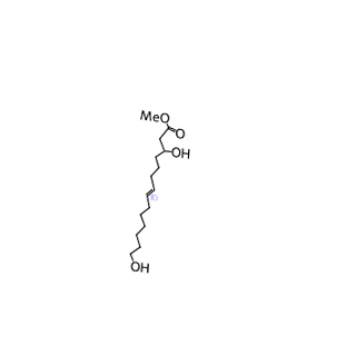 COC(=O)CC(O)CCC/C=C/CCCCCCO